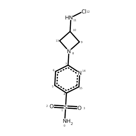 NS(=O)(=O)c1ccc(N2CC(NCl)C2)nc1